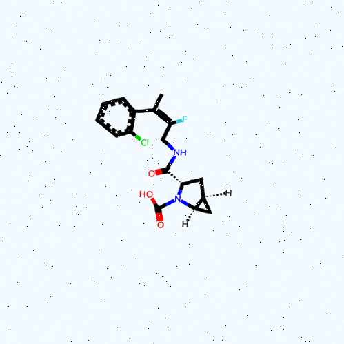 CC(=C(F)CNC(=O)[C@@H]1C[C@H]2C[C@H]2N1C(=O)O)c1ccccc1Cl